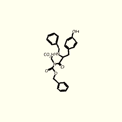 O=C(O)CN(C(=O)OCc1ccccc1)C(=O)C(Cc1ccc(O)cc1)NCc1ccccc1